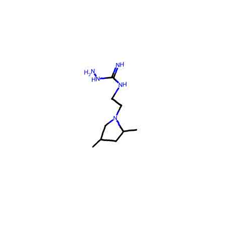 CC1CC(C)N(CCNC(=N)NN)C1